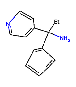 CCC(N)(c1ccccc1)c1ccncc1